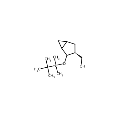 CC(C)(C)[Si](C)(C)OC1C2CC2C[C@H]1CO